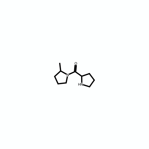 CC1CCCN1C(=O)C1CCCN1